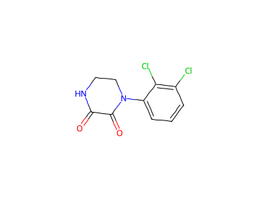 O=C1NCCN(c2cccc(Cl)c2Cl)C1=O